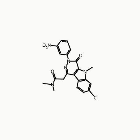 CN(C)C(=O)Cc1nn(-c2cccc([N+](=O)[O-])c2)c(=O)c2c1c1ccc(Cl)cc1n2C